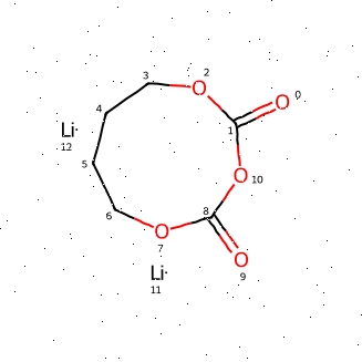 O=C1OCCCCOC(=O)O1.[Li].[Li]